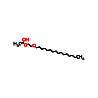 CCCCCCCCCCCCCCCCOCCOC(C)O